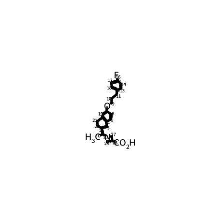 CC(C1=Cc2ccc(OCCCc3ccc(F)cc3)cc2CC1)N1CC(C(=O)O)C1